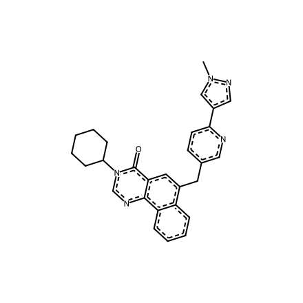 Cn1cc(-c2ccc(Cc3cc4c(=O)n(C5CCCCC5)cnc4c4ccccc34)cn2)cn1